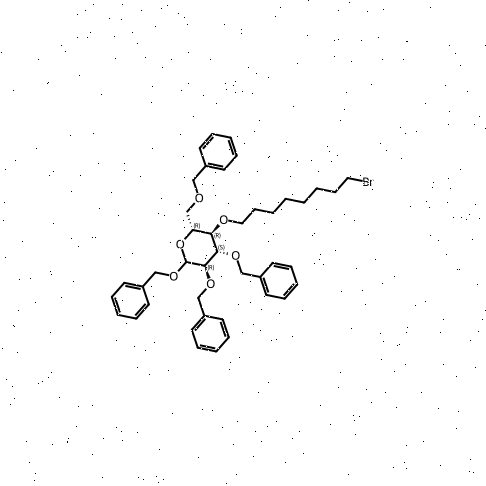 BrCCCCCCCCO[C@H]1[C@H](OCc2ccccc2)[C@@H](OCc2ccccc2)C(OCc2ccccc2)O[C@@H]1COCc1ccccc1